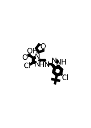 CC(C)(C)c1cc2c(NCc3nc(Cl)c(C(=O)O)n3[C@H]3CCOC3)n[nH]c2cc1Cl